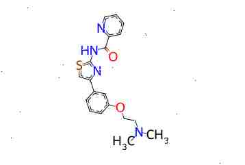 CN(C)CCOc1cccc(-c2csc(NC(=O)c3ccccn3)n2)c1